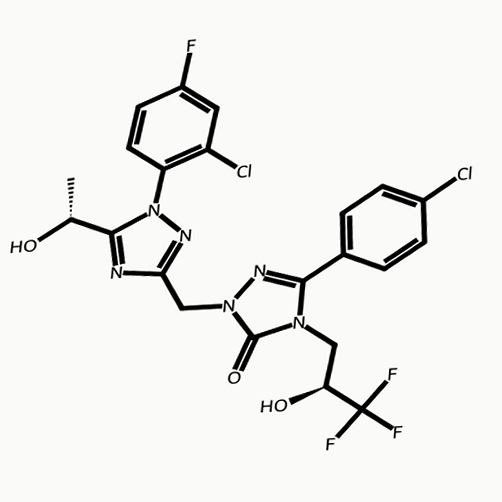 C[C@@H](O)c1nc(Cn2nc(-c3ccc(Cl)cc3)n(C[C@H](O)C(F)(F)F)c2=O)nn1-c1ccc(F)cc1Cl